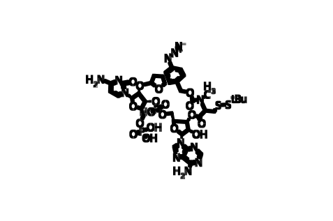 CN(C(=O)OCc1ccc(N=[N+]=[N-])cc1)C(CSSC(C)(C)C)C(=O)O[C@H]1[C@@H](O)[C@H](n2cnc3c(N)ncnc32)O[C@H]1COP(=O)(O)O[C@H]1[C@@H](OC2CCCO2)[C@H](n2ccc(N)nc2=O)O[C@@H]1COP(=O)(O)O